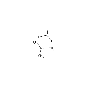 CN(C)C.FB(F)F